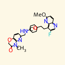 COc1ccc2ncc(F)c(CCC34CCC(NCc5ccc6c(n5)N(C)C(=O)CO6)(CC3)CO4)c2n1